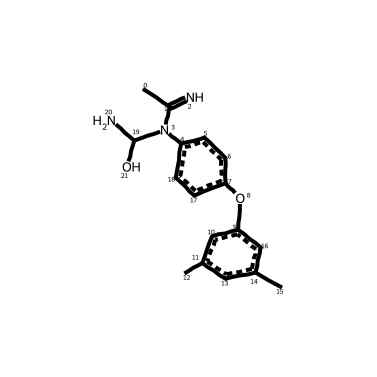 CC(=N)N(c1ccc(Oc2cc(C)cc(C)c2)cc1)C(N)O